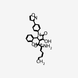 C=C/C=C\C=C(/N)C(=O)C1=C(O)C(=O)N(c2ccc(-c3ccon3)cc2)C1c1ccccc1OC